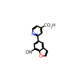 O=Nc1cc(-c2cc(C(=O)O)ccn2)cc2ccoc12